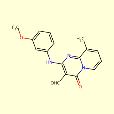 Cc1cccn2c(=O)c(C=O)c(Nc3cccc(OC(F)(F)F)c3)nc12